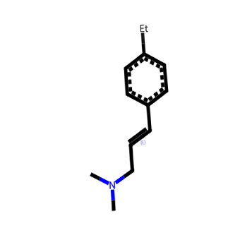 CCc1ccc(/C=C/CN(C)C)cc1